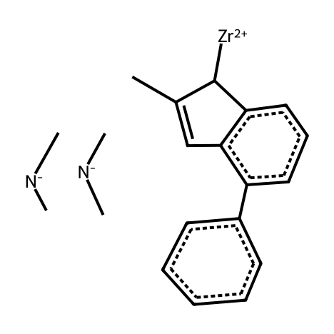 CC1=Cc2c(-c3ccccc3)cccc2[CH]1[Zr+2].C[N-]C.C[N-]C